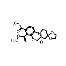 COC(=O)c1ccc2c(c1C(=O)OC)OC[C@@H]1CC3(CCN21)OCCO3